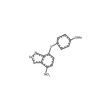 COc1ccc(Sc2ccc([N+](=O)[O-])c3n[se]nc23)cc1